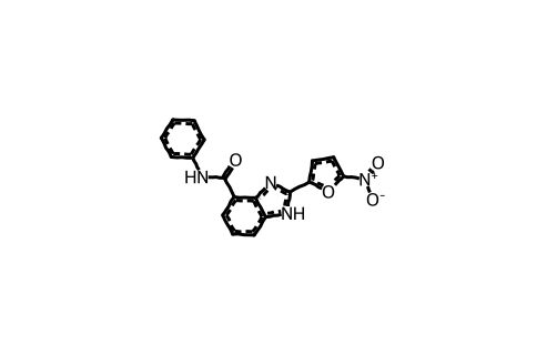 O=C(Nc1ccccc1)c1cccc2[nH]c(-c3ccc([N+](=O)[O-])o3)nc12